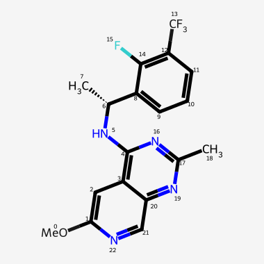 COc1cc2c(N[C@H](C)c3cccc(C(F)(F)F)c3F)nc(C)nc2cn1